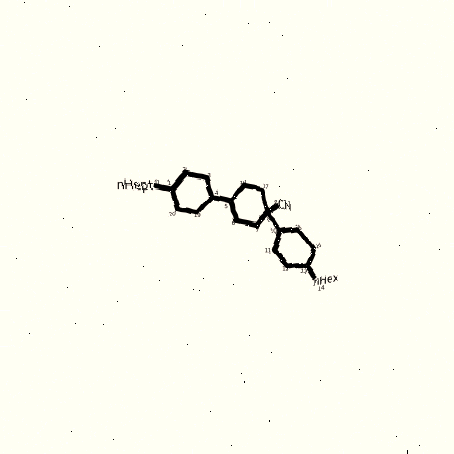 CCCCCCCC1CCC(C2CCC(C#N)(C3CCC(CCCCCC)CC3)CC2)CC1